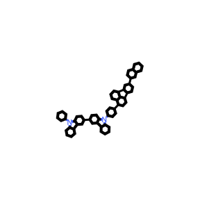 c1ccc(-n2c3ccccc3c3cc(-c4ccc5c(c4)c4ccccc4n5-c4ccc(-c5ccc6c7c(cccc57)-c5cc(-c7ccc8ccccc8c7)ccc5-6)cc4)ccc32)cc1